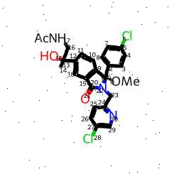 CO[C@]1(c2ccc(Cl)cc2)c2ccc(C(C)(O)CNC(C)=O)cc2C(=O)N1Cc1ccc(Cl)cn1